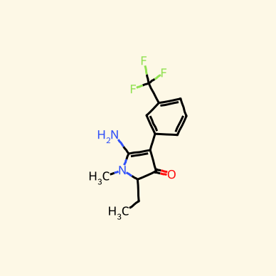 CCC1C(=O)C(c2cccc(C(F)(F)F)c2)=C(N)N1C